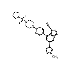 Cn1cc(-c2cc(-c3ccc(N4CCN(S(=O)(=O)N5CCCC5)CC4)nc3)c3c(C#N)cnn3c2)cn1